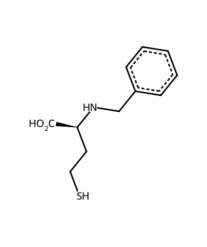 O=C(O)[C@H](CCS)NCc1ccccc1